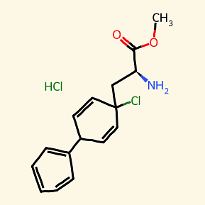 COC(=O)[C@@H](N)CC1(Cl)C=CC(c2ccccc2)C=C1.Cl